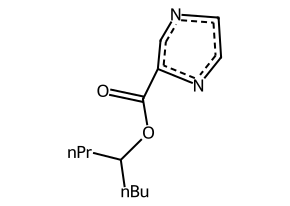 CCCCC(CCC)OC(=O)c1cnccn1